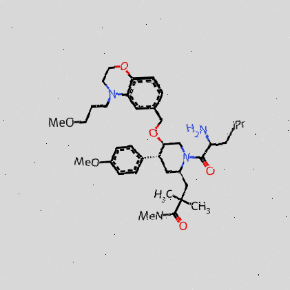 CNC(=O)C(C)(C)C[C@H]1C[C@H](c2ccc(OC)cc2)[C@@H](OCc2ccc3c(c2)N(CCCOC)CCO3)CN1C(=O)[C@@H](N)CC(C)C